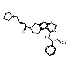 O=C(/C=C/CN1CCCC1)N1CCc2c(sc3ncnc(N[C@H](CO)c4ccccc4)c23)C1